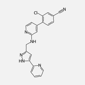 N#Cc1ccc(-c2ccnc(NCc3cc(-c4ccccn4)[nH]n3)c2)c(Cl)c1